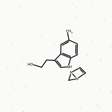 Cc1ccc2[nH]cc(CCO)c2c1.c1cn2n1C2